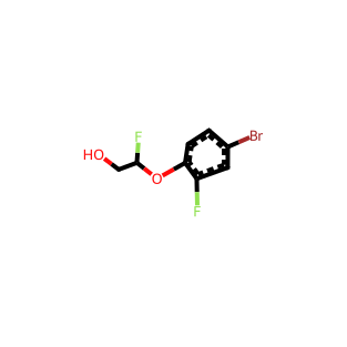 OCC(F)Oc1ccc(Br)cc1F